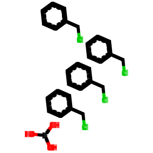 ClCc1ccccc1.ClCc1ccccc1.ClCc1ccccc1.ClCc1ccccc1.OB(O)O